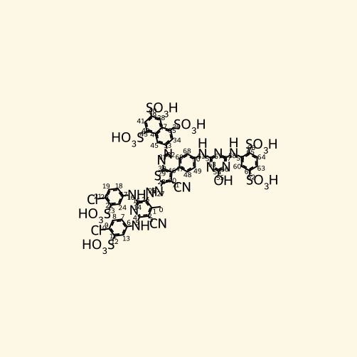 Cc1c(C#N)c(Nc2ccc(Cl)c(S(=O)(=O)O)c2)nc(Nc2ccc(Cl)c(S(=O)(=O)O)c2)c1N=Nc1sc(N=Nc2cc(S(=O)(=O)O)c3cc(S(=O)(=O)O)cc(S(=O)(=O)O)c3c2)c(-c2ccc(Nc3nc(O)nc(Nc4cc(S(=O)(=O)O)ccc4S(=O)(=O)O)n3)cc2)c1C#N